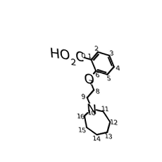 O=C(O)c1ccccc1OCCN1CCCCCC1